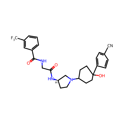 N#Cc1ccc(C2(O)CCC(N3CC[C@@H](NC(=O)CNC(=O)c4cccc(C(F)(F)F)c4)C3)CC2)cc1